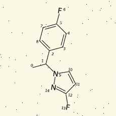 CC(c1ccc(F)cc1)n1ccc(F)n1